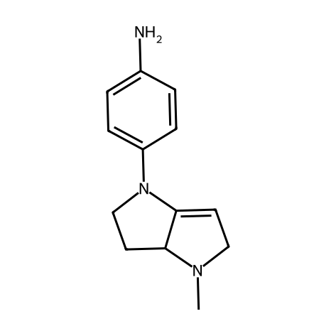 CN1CC=C2C1CCN2c1ccc(N)cc1